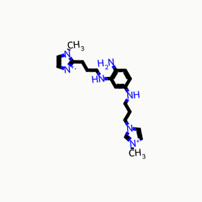 CN1C=C[N+]=C1CCCNc1cc(NCCCn2cc[n+](C)c2)ccc1N